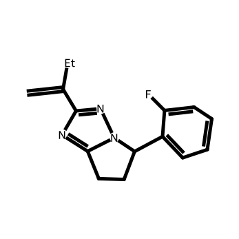 C=C(CC)c1nc2n(n1)C(c1ccccc1F)CC2